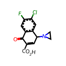 O=C(O)C1=CC(N2CC2)c2cc(Cl)c(F)cc2C1=O